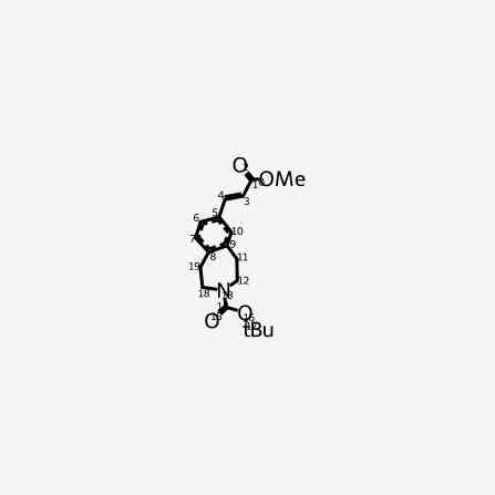 COC(=O)C=Cc1ccc2c(c1)CCN(C(=O)OC(C)(C)C)CC2